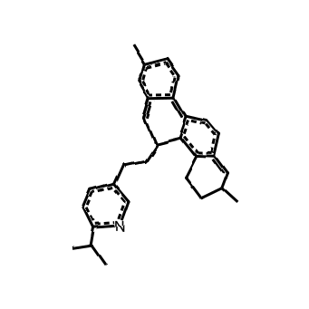 Cc1ccc2c(c1)=CC(CCc1ccc(C(C)C)nc1)c1c3c(ccc1=2)=CC(C)CC3